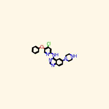 Clc1cc(Nc2ncnc3ccc(N4CCNCC4)cc23)ncc1Oc1ccccc1